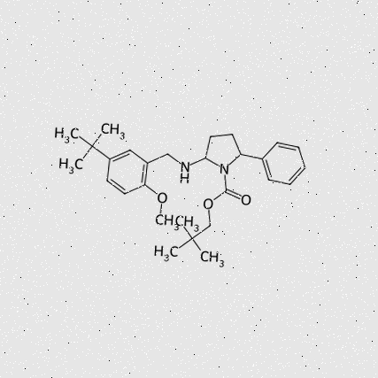 COc1ccc(C(C)(C)C)cc1CNC1CCC(c2ccccc2)N1C(=O)OCC(C)(C)C